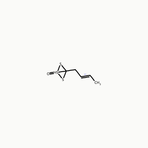 C/C=C/CC12S[SH]1(=O)S2